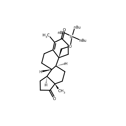 CCCC[Si](CCCC)(CCCC)OC[C@]12CCC(=O)C(C)=C1CC[C@@H]1[C@@H]2CC[C@]2(C)C(=O)CC[C@@H]12